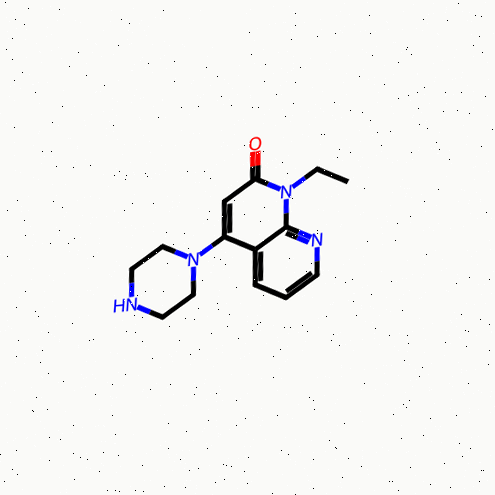 CCn1c(=O)cc(N2CCNCC2)c2cccnc21